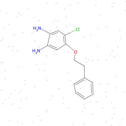 Nc1cc(Cl)c(OCCc2ccccc2)cc1N